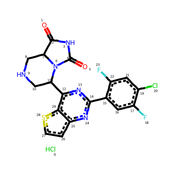 Cl.O=C1NC(=O)N2C1CNCC2c1nc(-c2cc(F)c(Cl)cc2F)nc2ccsc12